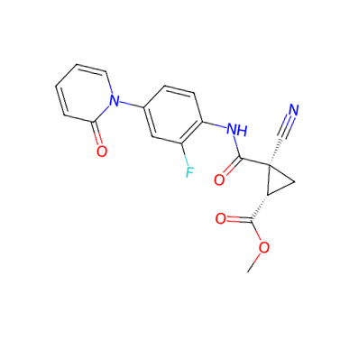 COC(=O)[C@H]1C[C@]1(C#N)C(=O)Nc1ccc(-n2ccccc2=O)cc1F